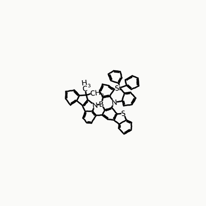 CC1(C)c2ccccc2-c2c1n1c3c(cccc23)-c2cc3c(sc4ccccc43)c3c2B1c1cccc2c1N3c1ccccc1[Si]2(c1ccccc1)c1ccccc1